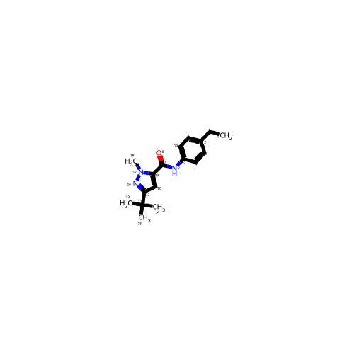 [CH2]Cc1ccc(NC(=O)c2cc(C(C)(C)C)nn2C)cc1